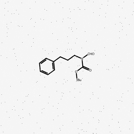 CC(C)(C)OC(=O)N(C=O)CCCc1ccccc1